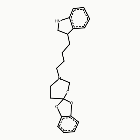 c1ccc2c(c1)NCC2CCCCN1CCC2(CC1)Oc1ccccc1O2